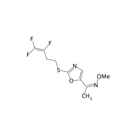 CO/N=C(/C)c1cnc(SCCC(F)=C(F)F)o1